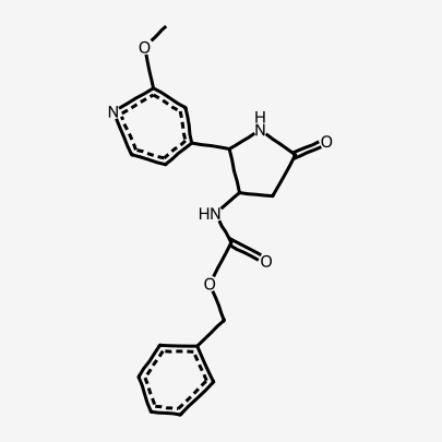 COc1cc(C2NC(=O)CC2NC(=O)OCc2ccccc2)ccn1